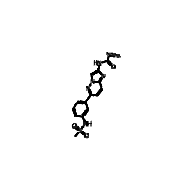 CNC(=O)Nc1cn2nc(-c3cccc(NS(C)(=O)=O)c3)ccc2n1